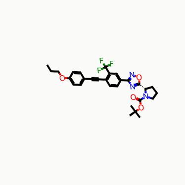 CCCOc1ccc(C#Cc2ccc(-c3noc([C@@H]4CCCN4C(=O)OC(C)(C)C)n3)cc2C(F)(F)F)cc1